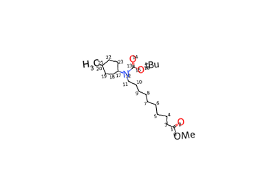 COC(=O)CCCCCCCCCN(C(=O)OC(C)(C)C)[C@H]1CC[C@@H](C)CC1